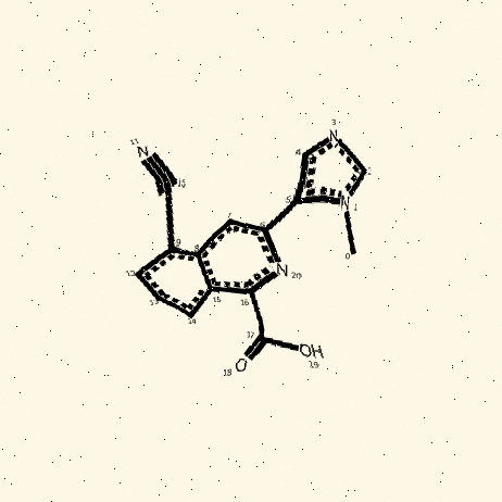 Cn1cncc1-c1cc2c(C#N)cccc2c(C(=O)O)n1